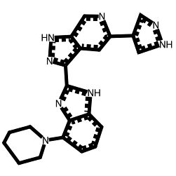 c1cc(N2CCCCC2)c2nc(-c3n[nH]c4cnc(-c5cn[nH]c5)cc34)[nH]c2c1